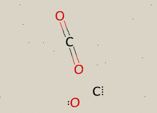 O=C=O.[C].[O]